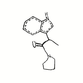 CC(C(=O)N1CCCC1)c1c[nH]c2ccccc12